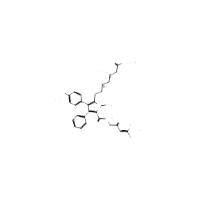 COC(=O)C[C@H](O)C[C@H](O)CCc1c(-c2ccc(F)cc2)c(-c2ccccc2)c(C(=O)NCC(=O)/C=C(/C)N)n1C(C)C.[Pd]